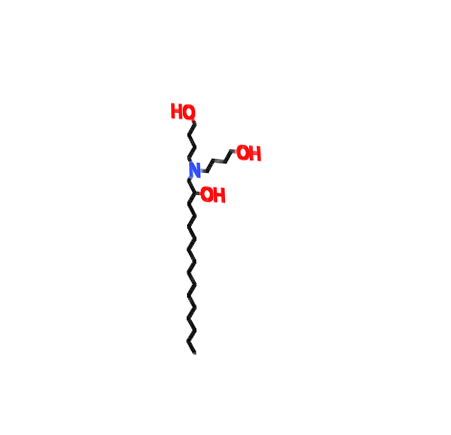 CCCCCCCCCCCCCCC(O)CN(CCCCO)CCCCO